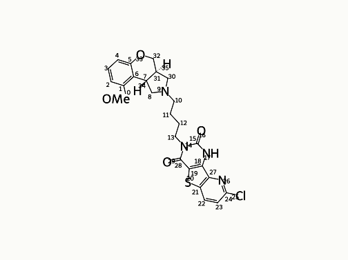 COc1cccc2c1[C@H]1CN(CCCCn3c(=O)[nH]c4c(sc5ccc(Cl)nc54)c3=O)C[C@@H]1CO2